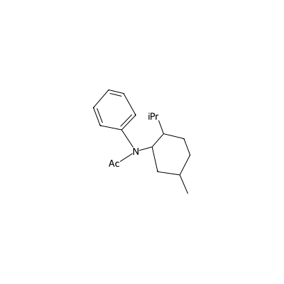 CC(=O)N(c1ccccc1)C1CC(C)CCC1C(C)C